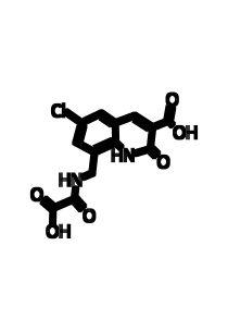 O=C(O)C(=O)NCc1cc(Cl)cc2cc(C(=O)O)c(=O)[nH]c12